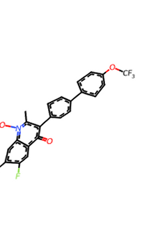 COc1cc2c(cc1F)c(=O)c(-c1ccc(-c3ccc(OC(F)(F)F)cc3)cc1)c(C)n2O